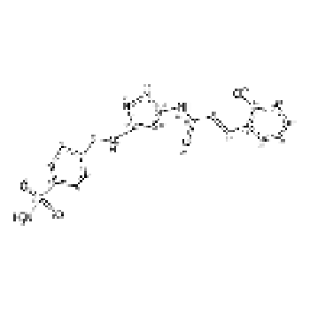 NS(=O)(=O)c1ccc(CNc2nnc(NC(=O)/C=C/c3ccccc3Cl)s2)cc1